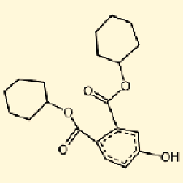 O=C(OC1CCCCC1)c1ccc(O)cc1C(=O)OC1CCCCC1